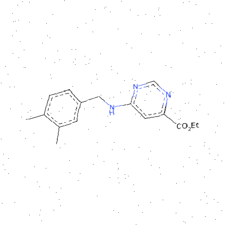 CCOC(=O)c1cc(NCc2ccc(C)c(C)c2)ncn1